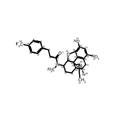 CN(C(=O)CCc1ccc(C(F)(F)F)cc1)C1CC[C@@]2(O)[C@H]3Cc4c([N+](=O)[O-])cc(O)c5c4[C@@]2(CCN3C)C1O5